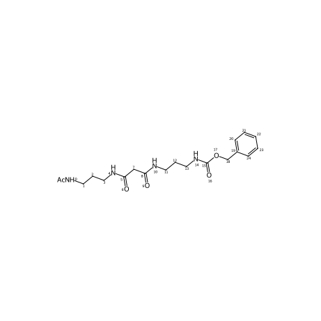 CC(=O)NCCCNC(=O)CC(=O)NCCCNC(=O)OCc1ccccc1